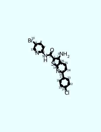 Nc1c(C(=O)Nc2ccc(Br)cn2)sc2nc(-c3ccc(Cl)cc3)ccc12